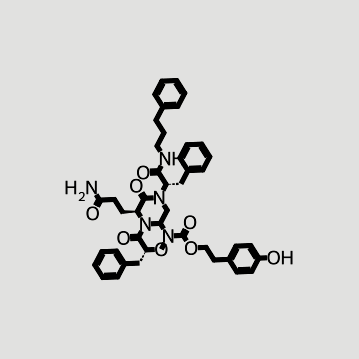 NC(=O)CC[C@H]1C(=O)N([C@@H](Cc2ccccc2)C(=O)NCCCc2ccccc2)CC2N(C(=O)OCCc3ccc(O)cc3)O[C@H](Cc3ccccc3)C(=O)N21